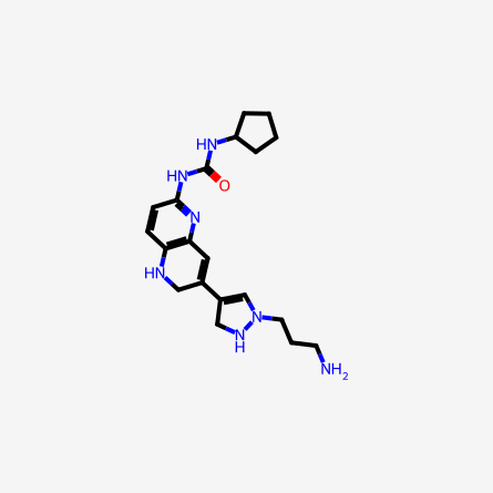 NCCCN1C=C(C2=Cc3nc(NC(=O)NC4CCCC4)ccc3NC2)CN1